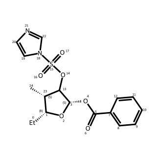 CC[C@H]1O[C@@H](OC(=O)c2ccccc2)C(OS(=O)(=O)n2ccnc2)[C@H]1C